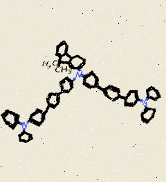 CC1(C)C2=CC(N(c3ccc(C4=CCC(c5ccc(N(C6=CC=CCC6)c6ccccc6)cc5)C=C4)cc3)c3ccc(-c4ccc(-c5ccc(N(c6ccccc6)c6ccccc6)cc5)cc4)cc3)=CCCC2c2ccccc21